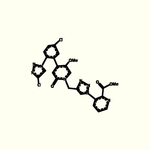 COC(=O)c1ncccc1-n1cc(Cn2cc(OC)c(-c3cc(Cl)ccc3-n3cc(Cl)nn3)cc2=O)nn1